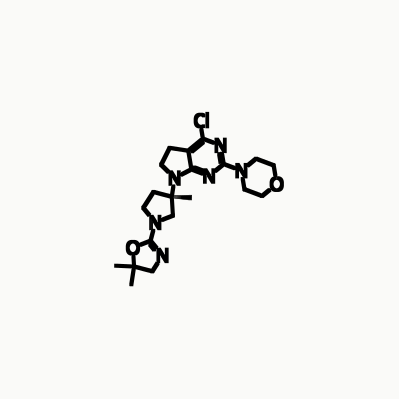 CC1(C)CN=C(N2CC[C@](C)(N3CCc4c(Cl)nc(N5CCOCC5)nc43)C2)O1